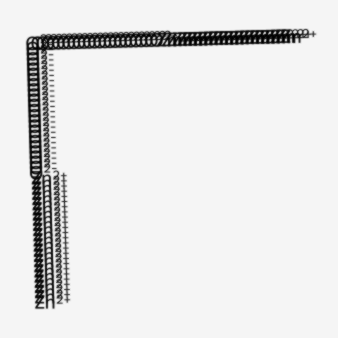 [O-2].[O-2].[O-2].[O-2].[O-2].[O-2].[O-2].[O-2].[O-2].[O-2].[O-2].[O-2].[O-2].[O-2].[O-2].[O-2].[O-2].[O-2].[O-2].[O-2].[O-2].[O-2].[O-2].[O-2].[O-2].[O-2].[O-2].[O-2].[O-2].[O-2].[O-2].[O-2].[O-2].[O-2].[O-2].[O-2].[O-2].[O-2].[O-2].[O-2].[O-2].[O-2].[O-2].[O-2].[O-2].[O-2].[O-2].[O-2].[O-2].[O-2].[Zn+2].[Zn+2].[Zn+2].[Zn+2].[Zn+2].[Zn+2].[Zn+2].[Zn+2].[Zn+2].[Zn+2].[Zn+2].[Zn+2].[Zn+2].[Zn+2].[Zn+2].[Zn+2].[Zn+2].[Zn+2].[Zn+2].[Zn+2].[Zn+2].[Zn+2].[Zn+2].[Zn+2].[Zn+2].[Zn+2].[Zn+2].[Zn+2].[Zn+2].[Zn+2].[Zn+2].[Zn+2].[Zn+2].[Zn+2].[Zn+2].[Zn+2].[Zn+2].[Zn+2].[Zn+2].[Zn+2].[Zn+2].[Zn+2].[Zn+2].[Zn+2].[Zn+2].[Zn+2].[Zn+2].[Zn+2].[Zn+2].[Zn+2]